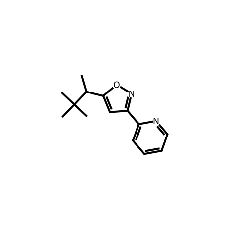 CC(c1cc(-c2ccccn2)no1)C(C)(C)C